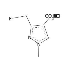 Cl.Cn1cc(C(=O)O)c(CF)n1